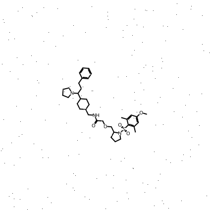 COc1cc(C)c(S(=O)(=O)N2CCCC2COCC(=O)NCC2CCC(C(CCc3ccccc3)N3CCCC3)CC2)c(C)c1